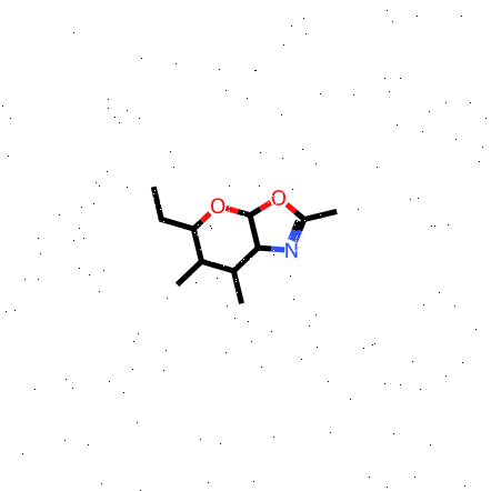 CCC1OC2OC(C)=NC2C(C)C1C